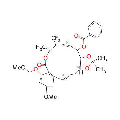 COCOc1cc(OC)cc2c1C(=O)OC(C)C(C(F)(F)F)/C=C\C(OC(=O)c1ccccc1)C1OC(C)(C)O[C@H]1C/C=C/2